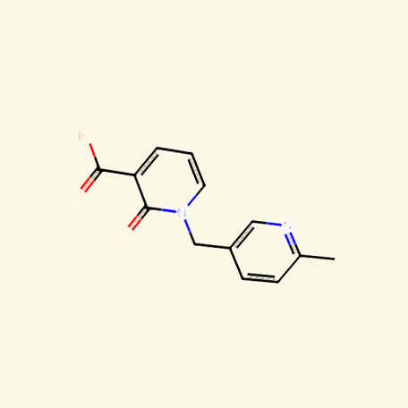 Cc1ccc(Cn2cccc(C(=O)O)c2=O)cn1